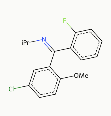 COc1ccc(Cl)cc1/C(=N\C(C)C)c1ccccc1F